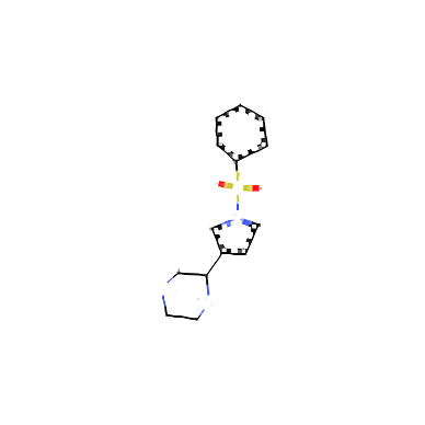 O=S(=O)(c1ccccc1)n1ccc(C2CNCCN2)c1